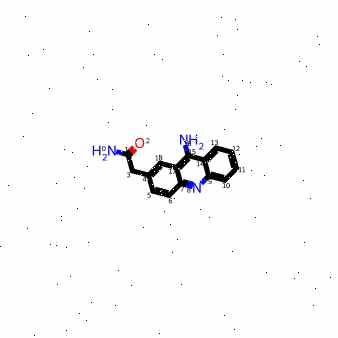 NC(=O)Cc1ccc2nc3ccccc3c(N)c2c1